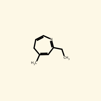 CCC1=NC=CCC(C)=C1